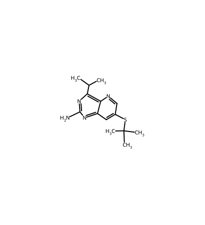 CC(C)c1nc(N)nc2cc(SC(C)(C)C)cnc12